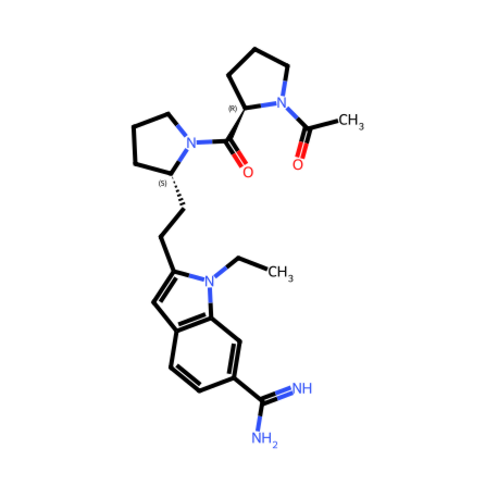 CCn1c(CC[C@@H]2CCCN2C(=O)[C@H]2CCCN2C(C)=O)cc2ccc(C(=N)N)cc21